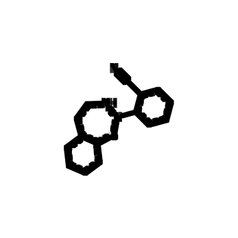 N#Cc1ccccc1-n1[nH]ccc2ccccc2s1